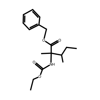 CCOC(=O)NC(C)(C(=O)OCc1ccccc1)C(C)CC